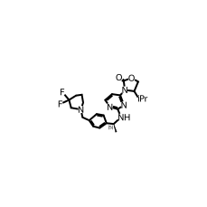 CC(C)C1COC(=O)N1c1ccnc(N[C@@H](C)c2ccc(CN3CCCC(F)(F)C3)cc2)n1